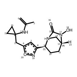 C=C(C)NC1(Cc2cc([C@@H]3CC[C@@H]4CN3C(=O)N4O)no2)CC1